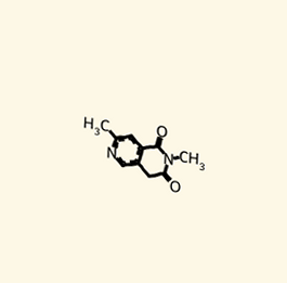 Cc1cc2c(cn1)CC(=O)N(C)C2=O